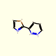 c1cnnc(-c2nccs2)c1